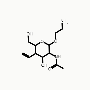 C=CC1C(CO)OC(OCCN)C(NC(C)=O)C1O